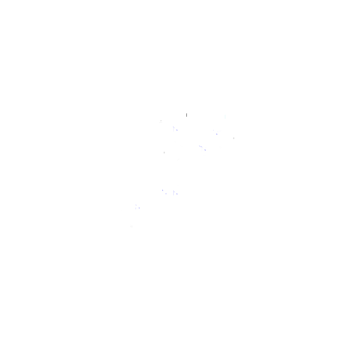 CC(=O)N1c2ccc(-c3cnn(CCN(CC(C)(C)C)C(=O)O)c3)cc2[C@H](Nc2cccc(F)n2)C[C@@H]1C